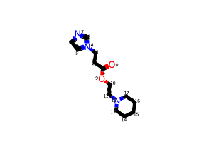 O=C(CCn1ccnc1)OCCN1CCCCC1